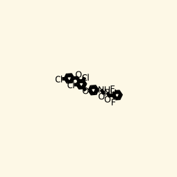 O=C(NC(=O)c1c(F)cccc1F)Nc1ccc(Oc2cc(Cl)c(C(=O)c3ccc(Cl)cc3)c(Cl)c2)cc1